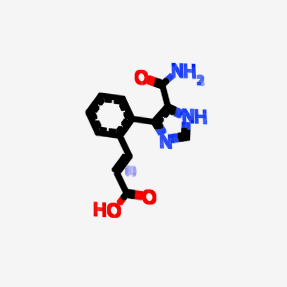 NC(=O)c1[nH]cnc1-c1ccccc1/C=C/C(=O)O